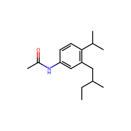 CCC(C)Cc1cc(NC(C)=O)ccc1C(C)C